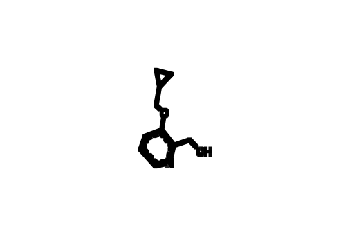 OCc1ncccc1OCC1CC1